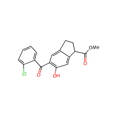 COC(=O)C1CCc2cc(C(=O)c3ccccc3Cl)c(O)cc21